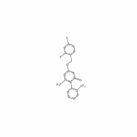 Cc1cc(OCc2ccc(F)cc2F)cc(=O)n1-c1ccccc1C(F)(F)F